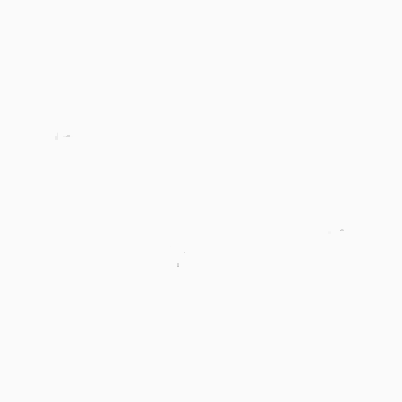 CCCCCCCCCCCCCCCCCCCCP[PH3]CCCCCCCCCCCCCCCCCCCC